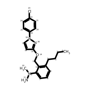 CCCCc1cccc(N(C)N)c1COc1ccn(-c2ccc(Cl)cc2)n1